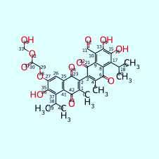 CC1=C(C2=C(C)C(=O)c3c(c(C=O)c(O)c(O)c3C(C)C)C2=O)C(=O)c2cc(OCC(=O)OCO)c(O)c(C(C)C)c2C1=O